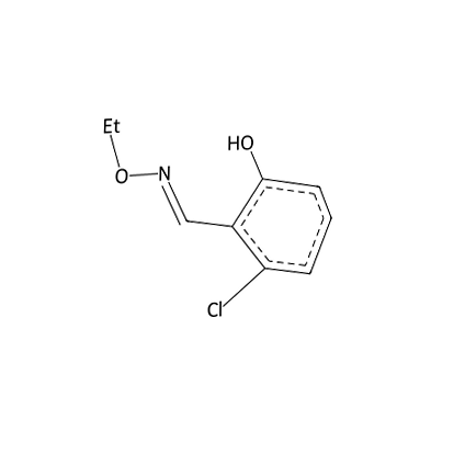 CCON=Cc1c(O)cccc1Cl